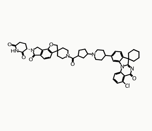 O=C1CC[C@H](N2Cc3c(ccc4c3OCC43CCN(C(=O)C4CCC(N5CCC(c6ccc7c(c6)-n6c(nc(=O)c8c(Cl)cccc86)C76CCCCC6)CC5)C4)CC3)C2=O)C(=O)N1